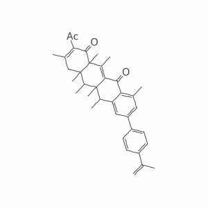 C=C(C)c1ccc(-c2cc(C)c3c(c2)C(C)C2(C)C(=C(C)C4(C)C(=O)C(C(C)=O)=C(C)CC4(C)C2C)C3=O)cc1